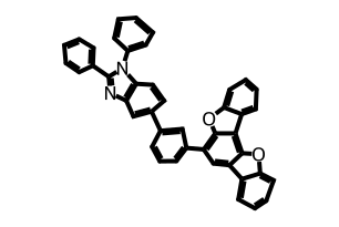 c1ccc(-c2nc3cc(-c4cccc(-c5cc6c7ccccc7oc6c6c5oc5ccccc56)c4)ccc3n2-c2ccccc2)cc1